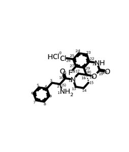 Cl.N[C@@H](Cc1ccccc1)C(=O)N1CCC[C@@]2(C1)OC(=O)Nc1ccc(Cl)c(F)c12